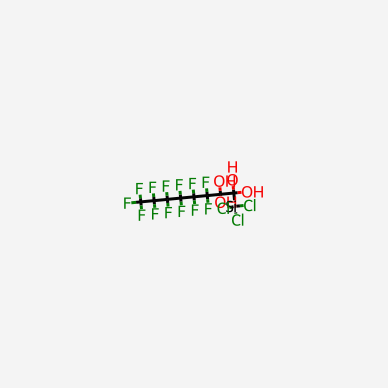 OC(O)(C(F)(F)C(F)(F)C(F)(F)C(F)(F)C(F)(F)C(F)(F)F)C(O)(O)[Si](Cl)(Cl)Cl